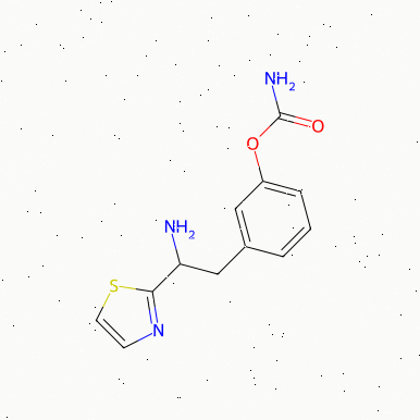 NC(=O)Oc1cccc(CC(N)c2nccs2)c1